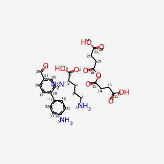 N.NCCC[C@H](N)C(=O)O.O=C(O)CCC(=O)OC(=O)CCC(=O)O.O=Cc1ccc(-c2ccccc2)cc1